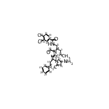 CC(C)C[C@H](CNC(=O)c1ccc(Cl)c(Cl)c1)N(C=O)CCC(CCc1ccccc1)N1C[C@H](N)C[C@H]1C